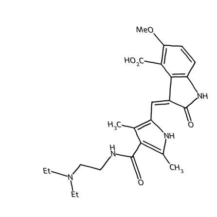 CCN(CC)CCNC(=O)c1c(C)[nH]c(/C=C2\C(=O)Nc3ccc(OC)c(C(=O)O)c32)c1C